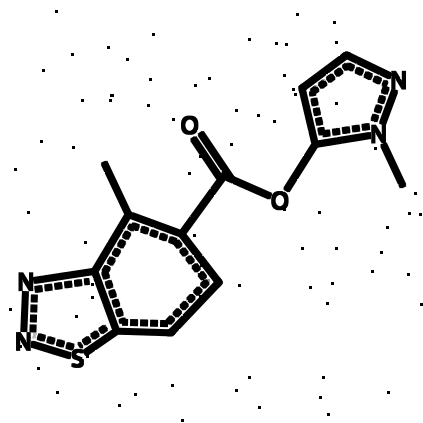 Cc1c(C(=O)Oc2ccnn2C)ccc2snnc12